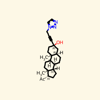 CC(=O)[C@H]1CC[C@H]2[C@@H]3CC[C@@H]4C[C@@](O)(C#CCn5ccnn5)CC[C@]4(C)[C@H]3CC[C@]12C